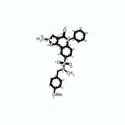 COc1ccc(CN(C)S(=O)(=O)c2ccc3c(c2)c2nn(C)cc2c(=O)n3-c2ccccc2)cc1